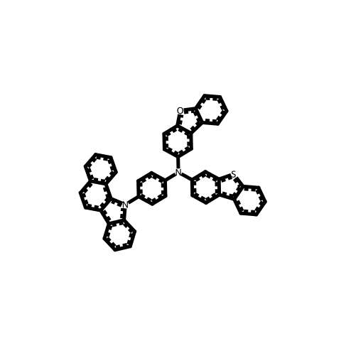 c1ccc2c(c1)ccc1c3ccccc3n(-c3ccc(N(c4ccc5c(c4)sc4ccccc45)c4ccc5oc6ccccc6c5c4)cc3)c21